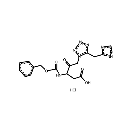 Cl.O=C(O)CC(NC(=O)OCc1ccccc1)C(=O)Cn1nnnc1Cc1ncc[nH]1